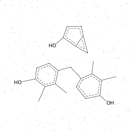 Cc1c(O)ccc(Cc2ccc(O)c(C)c2C)c1C.Oc1ccc2cc1-2